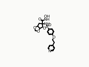 O=C(NO)C1(NS(=O)(=O)c2ccc(OCCc3ccncc3)cc2)CC2OCOC2C1